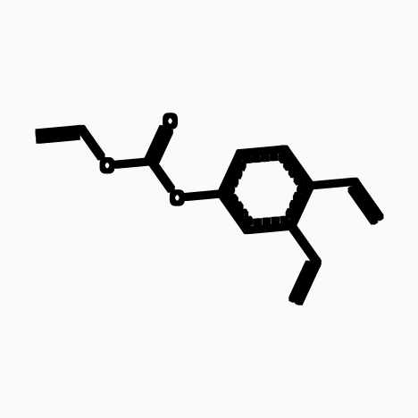 C=COC(=O)Oc1ccc(C=C)c(C=C)c1